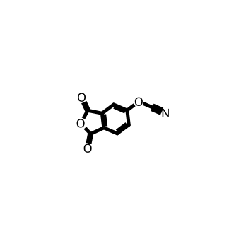 N#COc1ccc2c(c1)C(=O)OC2=O